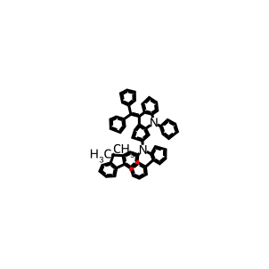 CC1(C)c2ccccc2-c2ccc(N(c3ccc4c(c3)N(c3ccccc3)c3ccccc3C4=C(c3ccccc3)c3ccccc3)c3ccccc3-c3ccccc3)cc21